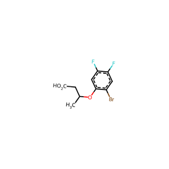 CC(CC(=O)O)Oc1cc(F)c(F)cc1Br